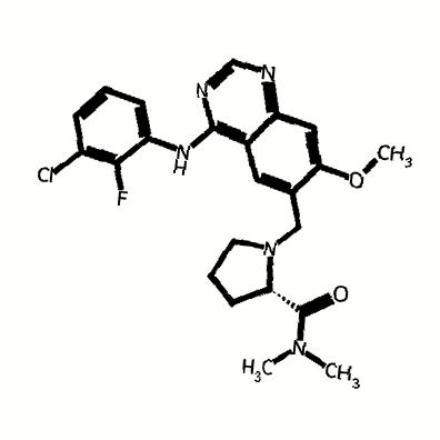 COc1cc2ncnc(Nc3cccc(Cl)c3F)c2cc1CN1CCC[C@H]1C(=O)N(C)C